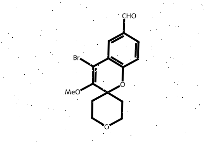 COC1=C(Br)c2cc(C=O)ccc2OC12CCOCC2